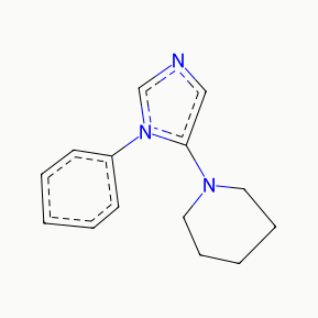 c1ccc(-n2cncc2N2CCCCC2)cc1